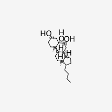 CCCCC1CC[C@H]2[C@@H]3C[C@@H](O)C4(O)C[C@@H](O)CC[C@]4(C)[C@H]3CC[C@]12C